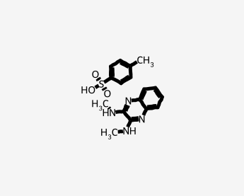 CNc1nc2ccccc2nc1NC.Cc1ccc(S(=O)(=O)O)cc1